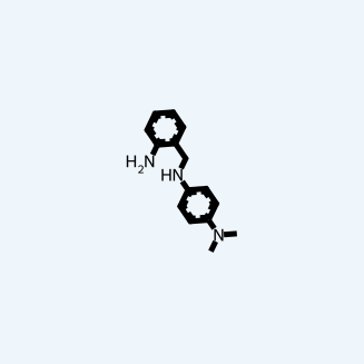 CN(C)c1ccc(NCc2ccccc2N)cc1